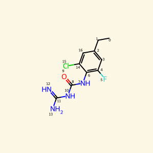 CCc1cc(F)c(NC(=O)NC(=N)N)c(Cl)c1